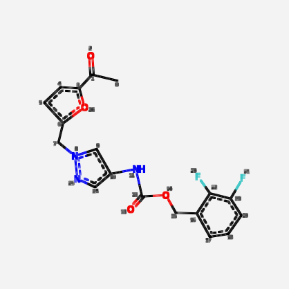 CC(=O)c1ccc(Cn2cc(NC(=O)OCc3cccc(F)c3F)cn2)o1